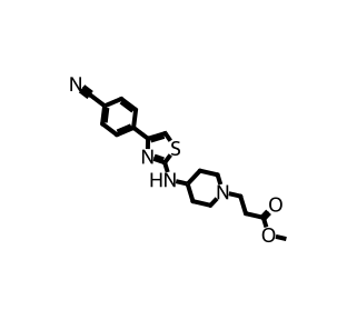 COC(=O)CCN1CCC(Nc2nc(-c3ccc(C#N)cc3)cs2)CC1